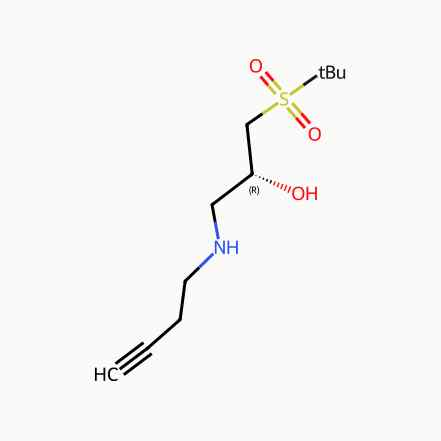 C#CCCNC[C@@H](O)CS(=O)(=O)C(C)(C)C